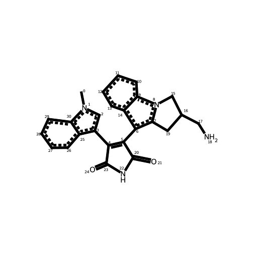 Cn1cc(C2=C(c3c4n(c5ccccc35)CC(CN)C4)C(=O)NC2=O)c2ccccc21